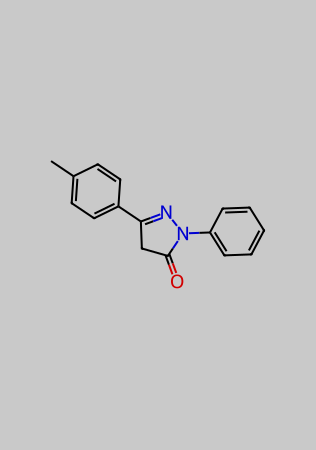 Cc1ccc(C2=NN(c3ccccc3)C(=O)C2)cc1